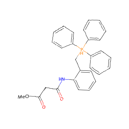 COC(=O)CC(=O)Nc1ccccc1C[PH](c1ccccc1)(c1ccccc1)c1ccccc1